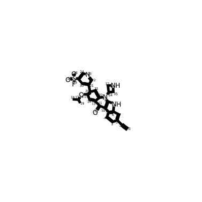 C#Cc1ccc2c(c1)[nH]c1c2c(=O)c2cc(OC(C)C)c(-c3cncc(S(=O)(=O)F)c3)cc2n1C1CNC1